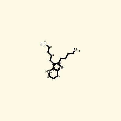 CCCCCc1[nH]c2c(c1CCCCC)NCCC2